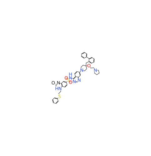 O=[N+]([O-])c1cc(S(=O)(=O)Nc2ncnc3cc(N4CCC(Cc5ccccc5-c5ccccc5)(OCCN5CCCC5)CC4)ccc23)ccc1NCCSc1ccccc1